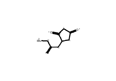 C=C(CC1CC(=O)CC1=O)CC(C)(C)C